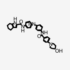 O=C(Nc1ccc(Nc2ccc(NC(=O)c3cc4c([nH]3)CCCC4)cc2)cc1)c1ccc(N2CCC(O)CC2)cc1